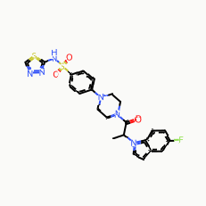 CC(C(=O)N1CCN(c2ccc(S(=O)(=O)Nc3nncs3)cc2)CC1)n1ccc2cc(F)ccc21